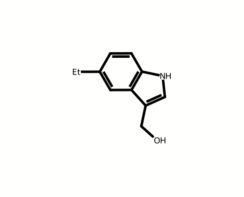 CCc1ccc2[nH]cc(CO)c2c1